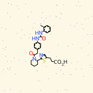 Cc1ccccc1NC(=O)Nc1ccc(CC(=O)N2CCCCC2c2ncc(CCC(=O)O)s2)cc1